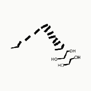 C=C.C=C.C=C.C=C.C=C.C=C.C=C.C=C.C=CC.C=CC.OCCO.OCCO